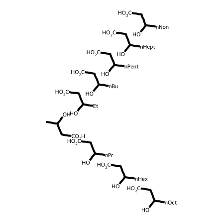 CC(O)CC(=O)O.CCC(O)CC(=O)O.CCCC(O)CC(=O)O.CCCCC(O)CC(=O)O.CCCCCC(O)CC(=O)O.CCCCCCC(O)CC(=O)O.CCCCCCCC(O)CC(=O)O.CCCCCCCCC(O)CC(=O)O.CCCCCCCCCC(O)CC(=O)O